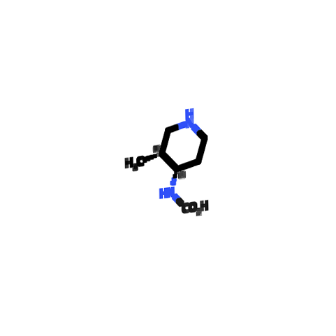 C[C@@H]1CNCC[C@@H]1NC(=O)O